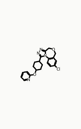 Clc1ccc2c(c1)COCc1nnc(C3CCC(Oc4ccccn4)CC3)n1-2